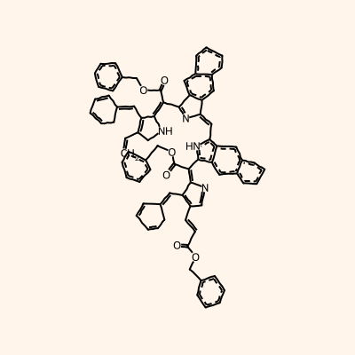 C=CC1=C(/C=C2/C=CC=CC2)/C(=C(\C(=O)OCc2ccccc2)C2=N/C(=C\c3[nH]c(/C(C(=O)OCc4ccccc4)=C4\N=CC(/C=C/C(=O)OCc5ccccc5)=C4/C=C4/C=CC=CC4)c4cc5ccccc5cc34)c3cc4ccccc4cc32)NC1